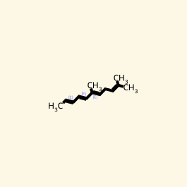 C/C=C/C=C/C(C)=C/CC=C(C)C